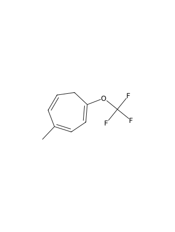 CC1=CC=C(OC(F)(F)F)CC=C1